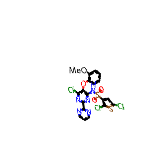 COc1ccccc1Oc1c(Cl)nc(-c2ncccn2)nc1NS(=O)(=O)c1cc(Cl)sc1Cl